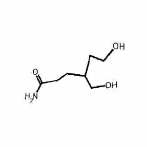 NC(=O)CCC(CO)CCO